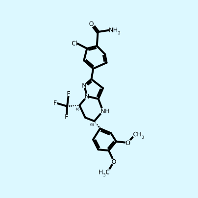 COc1ccc([C@@H]2C[C@H](C(F)(F)F)n3nc(-c4ccc(C(N)=O)c(Cl)c4)cc3N2)cc1OC